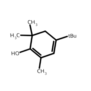 CC1=C(O)C(C)(C)CC(C(C)(C)C)=C1